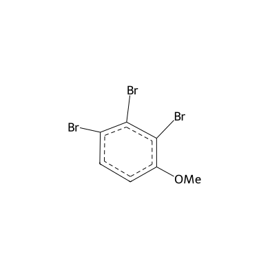 COc1ccc(Br)c(Br)c1Br